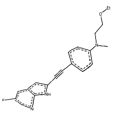 CCOCCN(C)c1ccc(C#Cc2cc3cc(F)cnc3[nH]2)cc1